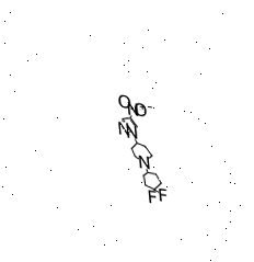 O=[N+]([O-])c1cnn(C2CCN(C3CCC(F)(F)CC3)CC2)c1